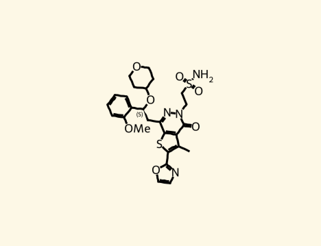 COc1ccccc1[C@H](Cc1nn(CCS(N)(=O)=O)c(=O)c2c(C)c(-c3ncco3)sc12)OC1CCOCC1